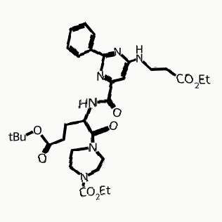 CCOC(=O)CCNc1cc(C(=O)NC(CCC(=O)OC(C)(C)C)C(=O)N2CCN(C(=O)OCC)CC2)nc(-c2ccccc2)n1